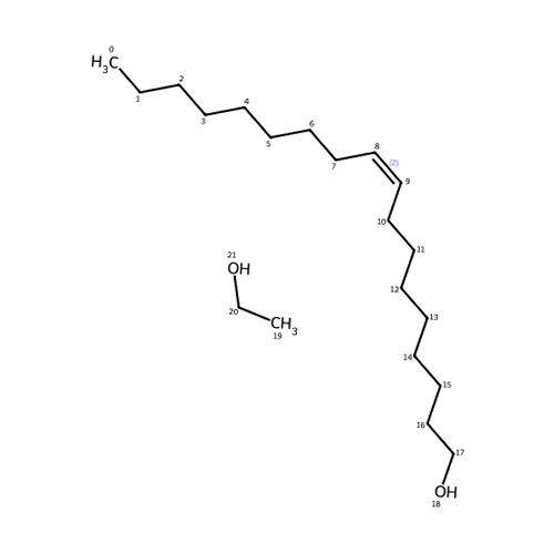 CCCCCCCC/C=C\CCCCCCCCO.CCO